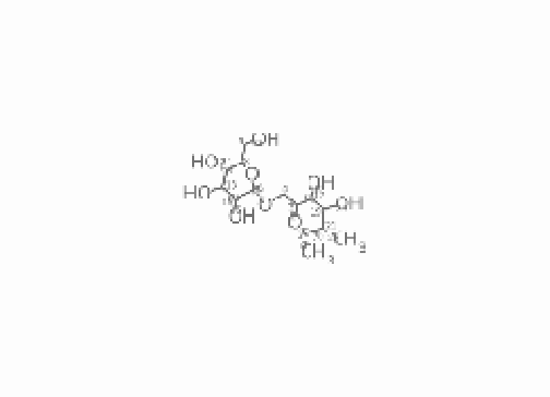 C[C@@H]1OC(CO[C@H]2OC(CO)[C@@H](O)C(O)[C@@H]2O)[C@@H](O)C(O)[C@@H]1C